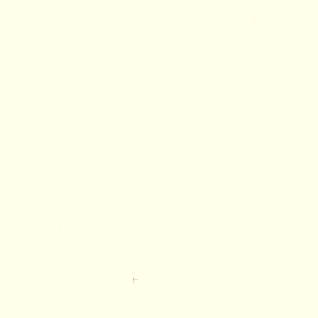 CC(C)(F)C(c1cccc(OCC2CCC(c3cc(F)ccc3F)CC2)c1)C1CC1